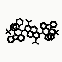 CC(C)c1cc(N(c2cccc3c2CCCC3)c2cccc3c4ccccc4n(-c4ccccc4C(C)(C)C)c23)c2ccc3c(C(C)C)cc(N(c4cccc5c4CCCC5)c4cccc5c6ccccc6n(-c6ccccc6C(C)(C)C)c45)c4ccc1c2c34